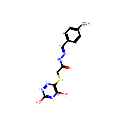 O=C(CSc1nnc(O)nc1O)N/N=C/c1ccc(C(=O)O)cc1